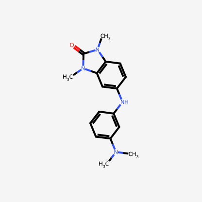 CN(C)c1cccc(Nc2ccc3c(c2)n(C)c(=O)n3C)c1